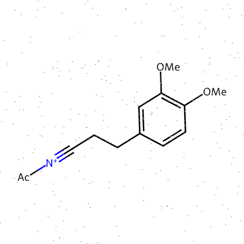 COc1ccc(CCC#[N+]C(C)=O)cc1OC